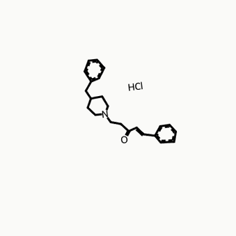 Cl.O=C(C=Cc1ccccc1)CCN1CCC(Cc2ccccc2)CC1